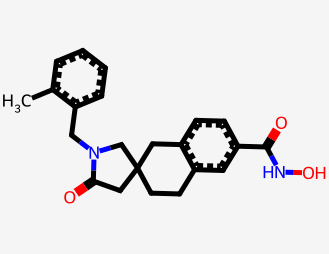 Cc1ccccc1CN1CC2(CCc3cc(C(=O)NO)ccc3C2)CC1=O